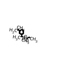 C=C(C)c1cccc(C(C)N(C)OC(=O)CC)c1